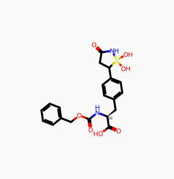 O=C1CC(c2ccc(C[C@H](NC(=O)OCc3ccccc3)C(=O)O)cc2)S(O)(O)N1